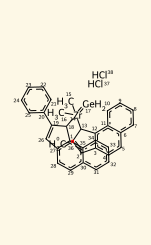 CC1=Cc2ccc3ccccc3c2[CH]1[Zr]([CH3])([CH3])(=[GeH2])[CH]1C(c2ccccc2)=Cc2ccc3ccccc3c21.Cl.Cl